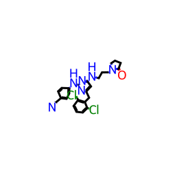 N#Cc1ccc(Nc2nc(Cc3c(Cl)cccc3Cl)cc(NCCCN3CCCC3=O)n2)cc1